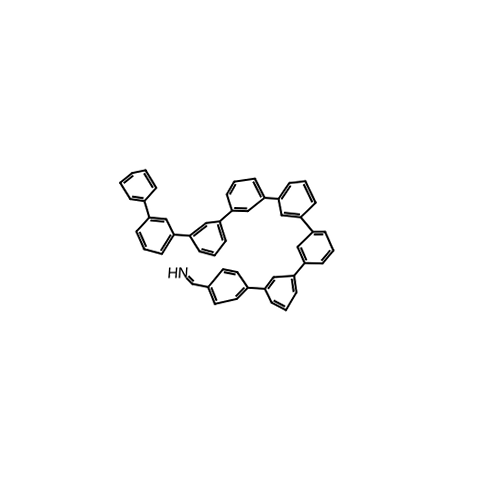 N=Cc1ccc(-c2cccc(-c3cccc(-c4cccc(-c5cccc(-c6cccc(-c7cccc(-c8ccccc8)c7)c6)c5)c4)c3)c2)cc1